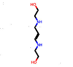 OCCNC=CCNCCO